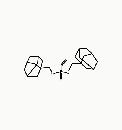 C=CP(=O)(OCC12CC3CC(CC(C3)C1)C2)OCC12CC3CC(CC(C3)C1)C2